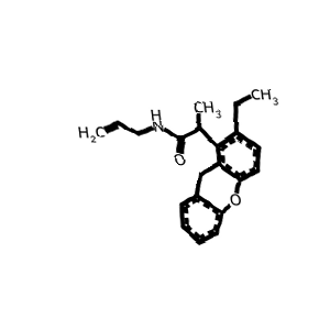 C=CCNC(=O)C(C)c1c(CC)ccc2c1Cc1ccccc1O2